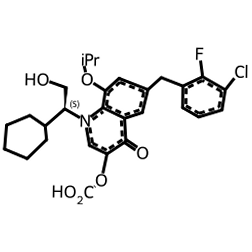 CC(C)Oc1cc(Cc2cccc(Cl)c2F)cc2c(=O)c(OC(=O)O)cn([C@H](CO)C3CCCCC3)c12